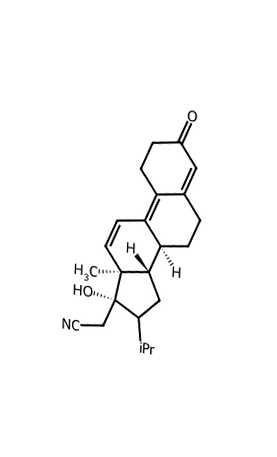 CC(C)C1C[C@H]2[C@@H]3CCC4=CC(=O)CCC4=C3C=C[C@]2(C)[C@]1(O)CC#N